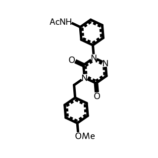 COc1ccc(Cn2c(=O)cnn(-c3cccc(NC(C)=O)c3)c2=O)cc1